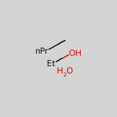 CCCC.CCO.O